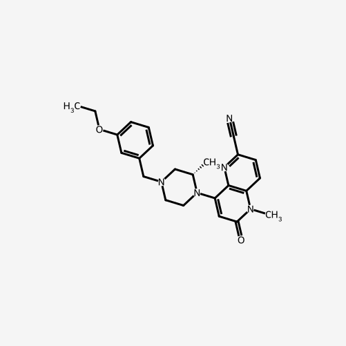 CCOc1cccc(CN2CCN(c3cc(=O)n(C)c4ccc(C#N)nc34)[C@@H](C)C2)c1